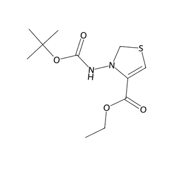 CCOC(=O)C1=CSCN1NC(=O)OC(C)(C)C